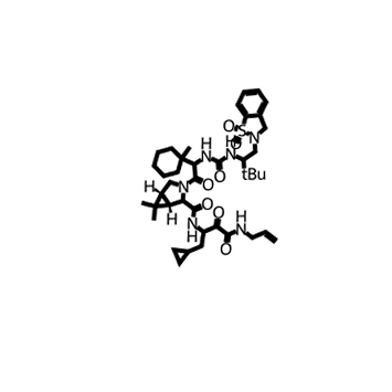 C=CCNC(=O)C(=O)C(CC1CC1)NC(=O)C1[C@H]2[C@@H](CN1C(=O)C(NC(=O)NC(CN1Cc3ccccc3S1(=O)=O)C(C)(C)C)C1(C)CCCCC1)C2(C)C